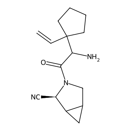 C=CC1(C(N)C(=O)N2CC3CC3[C@H]2C#N)CCCC1